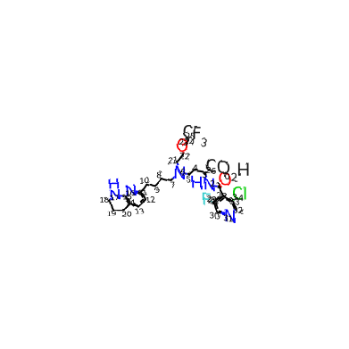 O=C(NC(CCN(CCCCc1ccc2c(n1)NCCC2)CCOCC(F)(F)F)C(=O)O)c1c(F)cncc1Cl